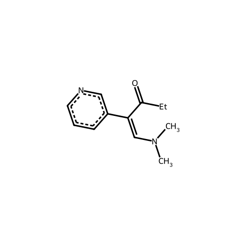 CCC(=O)C(=CN(C)C)c1cccnc1